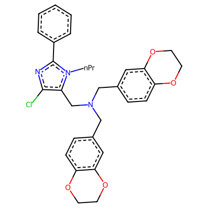 CCCn1c(-c2ccccc2)nc(Cl)c1CN(Cc1ccc2c(c1)OCCO2)Cc1ccc2c(c1)OCCO2